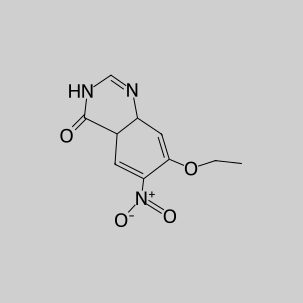 CCOC1=CC2N=CNC(=O)C2C=C1[N+](=O)[O-]